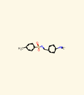 [C-]#[N+]c1ccc(/C=N/S(=O)(=O)c2ccc(C)cc2)cc1